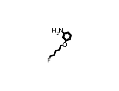 Nc1cccc(OCCCCCF)c1